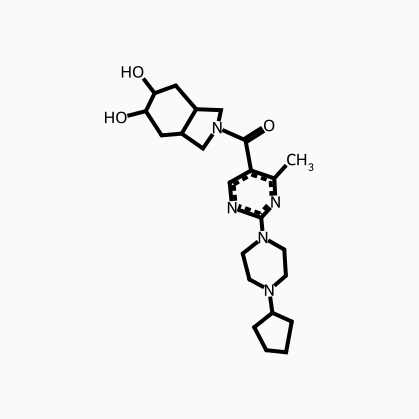 Cc1nc(N2CCN(C3CCCC3)CC2)ncc1C(=O)N1CC2CC(O)C(O)CC2C1